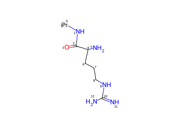 CC(C)NC(=O)C(N)CCCNC(=N)N